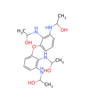 CC(O)Nc1cccc(Oc2cccc(NC(C)O)c2NC(C)O)c1NC(C)O